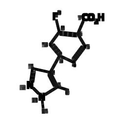 Cc1c(-c2ccc(C(=O)O)c(F)c2)cnn1C